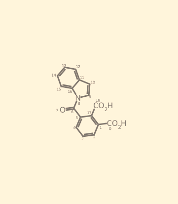 O=C(O)c1cccc(C(=O)n2ccc3ccccc32)c1C(=O)O